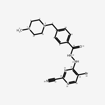 CN1CCN(Cc2ccc(C(=O)NNc3nc(C#N)ncc3Br)cc2)CC1